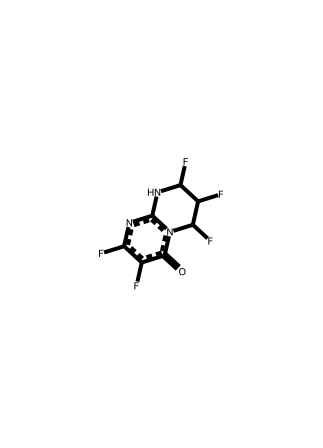 O=c1c(F)c(F)nc2n1C(F)C(F)C(F)N2